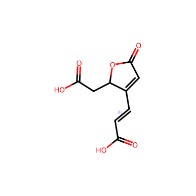 O=C(O)/C=C/C1=CC(=O)OC1CC(=O)O